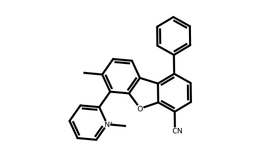 Cc1ccc2c(oc3c(C#N)ccc(-c4ccccc4)c32)c1-c1cccc[n+]1C